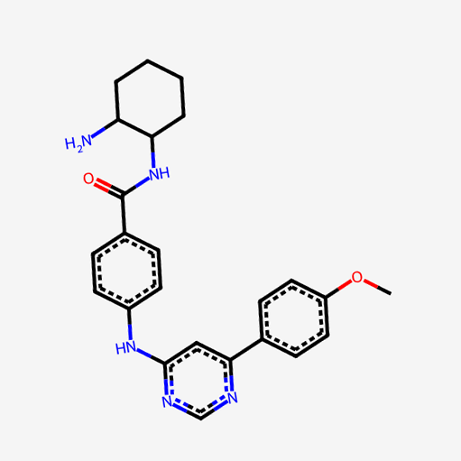 COc1ccc(-c2cc(Nc3ccc(C(=O)NC4CCCCC4N)cc3)ncn2)cc1